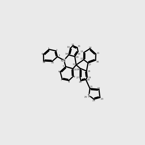 c1ccc(N2c3ccccc3C3(c4ccccc4-c4cc(-c5cccs5)ccc43)c3ccccc32)cc1